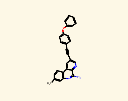 Cc1ccc2c(c1)nc(N)c1ncc(C#Cc3ccc(Oc4ccccc4)cc3)cc12